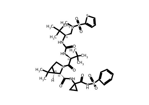 CN(C[C@@H](NC(=O)N[C@H](C(=O)N1CC2[C@@H]([C@H]1C(=O)NC1(C(=O)NS(=O)(=O)c3ccccc3)CC1)C2(C)C)C(C)(C)C)C(C)(C)C)S(=O)(=O)c1cccs1